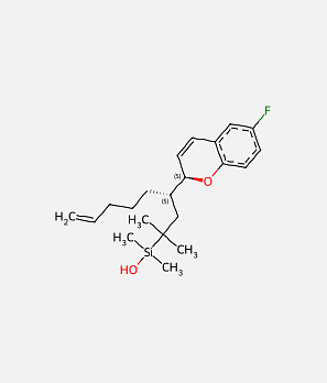 C=CCCC[C@@H](CC(C)(C)[Si](C)(C)O)[C@H]1C=Cc2cc(F)ccc2O1